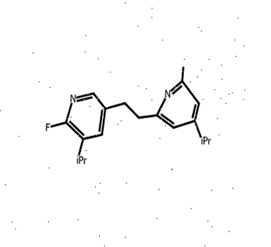 Cc1cc(C(C)C)cc(CCc2cnc(F)c(C(C)C)c2)n1